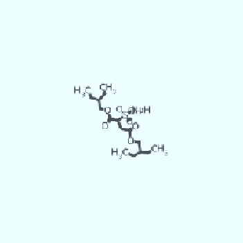 CCC(CC)COC(=O)CC(C(=O)OCC(CC)CC)S(=O)(=O)O.[NaH]